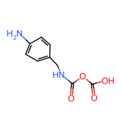 Nc1ccc(CNC(=O)OC(=O)O)cc1